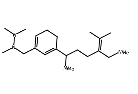 CNCC(CCC(NC)C1=CC(CN(C)N(C)C)=CCC1)=C(C)C